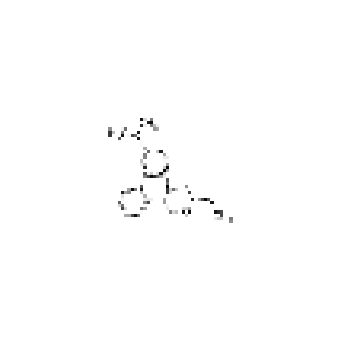 CCCCN1c2ccc(C(C)C)cc2-c2ccccc2C1C=O